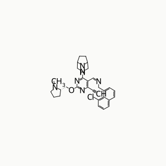 C#Cc1nc(OC[C@@H]2CCCN2C)nc(N2CC3CCC(C2)N3)c1/C=N\Cc1cccc2cccc(Cl)c12